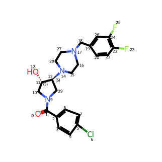 O=C(c1ccc(Cl)cc1)N1C[C@H](O)[C@@H](N2CCN(Cc3ccc(F)c(F)c3)CC2)C1